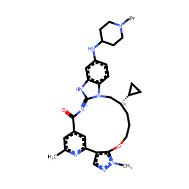 Cc1cc2cc(n1)-c1cnn(C)c1OCCC[C@@H](C1CC1)CN1/C(=N/C2=O)Nc2cc(NC3CCN(C(C)C)CC3)ccc21